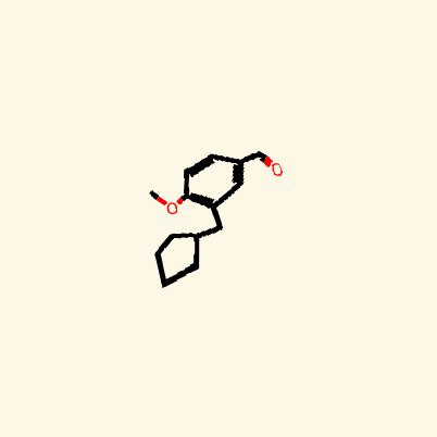 COc1ccc(C=O)cc1CC1CCCC1